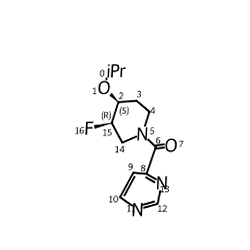 CC(C)O[C@H]1CCN(C(=O)c2ccncn2)C[C@H]1F